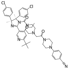 CCOc1cc(C(C)(C)C)ncc1C1=N[C@@](C)(c2ccc(Cl)cc2)[C@@](C)(c2ccc(Cl)cc2)N1C(=O)N1CCN(CC(=O)N2CCN(c3ccc(C#N)cc3)CC2)CC1